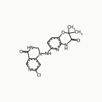 CC1(C)Oc2ccc(NN3CNC(=O)c4cnc(Cl)cc43)nc2NC1=O